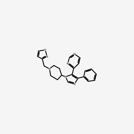 c1ccc(-c2ncn(C3CCN(Cc4ccon4)CC3)c2-c2ccncn2)cc1